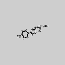 CC(C)(C)NC(=O)Nc1nc(-c2ccc(Cl)cc2)cs1